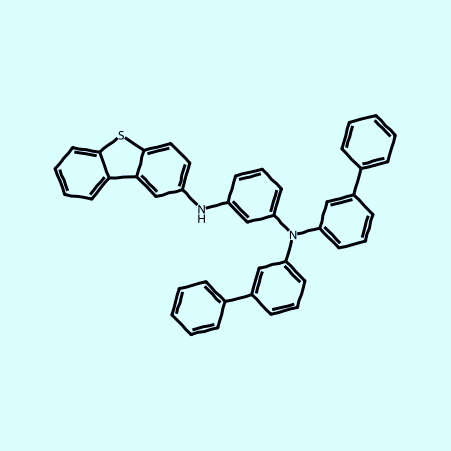 c1ccc(-c2cccc(N(c3cccc(Nc4ccc5sc6ccccc6c5c4)c3)c3cccc(-c4ccccc4)c3)c2)cc1